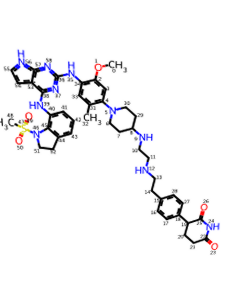 COc1cc(N2CCC(NCCNCCc3ccc(C4CCC(=O)NC4=O)cc3)CC2)c(C)cc1Nc1nc(Nc2cccc3c2N(S(C)(=O)=O)CC3)c2cc[nH]c2n1